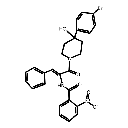 O=C(NC(=Cc1ccccc1)C(=O)N1CCC(O)(c2ccc(Br)cc2)CC1)c1ccccc1[N+](=O)[O-]